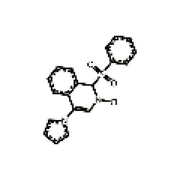 O=S(=O)(c1ccccc1)C1c2ccccc2C(n2cccc2)=CN1Cl